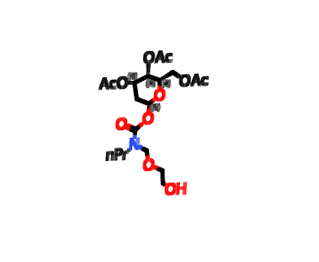 CCCN(COCCO)C(=O)O[C@H]1C[C@@H](OC(C)=O)[C@@H](OC(C)=O)[C@@H](COC(C)=O)O1